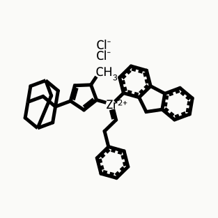 CC1C=C(C23CC4CC(CC(C4)C2)C3)C=[C]1[Zr+2](=[CH]Cc1ccccc1)[c]1cccc2c1Cc1ccccc1-2.[Cl-].[Cl-]